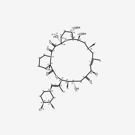 CC[C@@H]1/C=C(\C)C[C@H](C)C[C@H](OC)[C@H]2O[C@@](O)(C(=O)C(=O)N3CCCC[C@H]3C(=O)O[C@H](/C(C)=C/[C@@H]3CC[C@H](Cl)[C@H](C)C3)[C@H](C)[C@@H](O)CC1=O)[C@H](C)C[C@@H]2OC